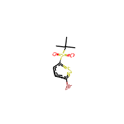 CC(C)(C)S(=O)(=O)c1ccc(Br)s1